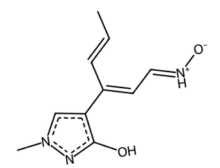 C/C=C/C(=C\C=[NH+]\[O-])c1cn(C)nc1O